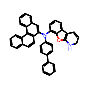 C1=Cc2c(oc3c(N(c4ccc(-c5ccccc5)cc4)c4cc5ccccc5c5c4ccc4ccccc45)cccc23)NC1